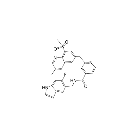 Cc1cnc2c(S(C)(=O)=O)cc(Cc3cc(C(=O)NCc4cc5cc[nH]c5cc4F)ccn3)cc2c1